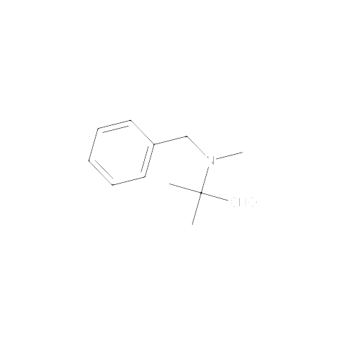 CN(Cc1ccccc1)C(C)(C)C=O